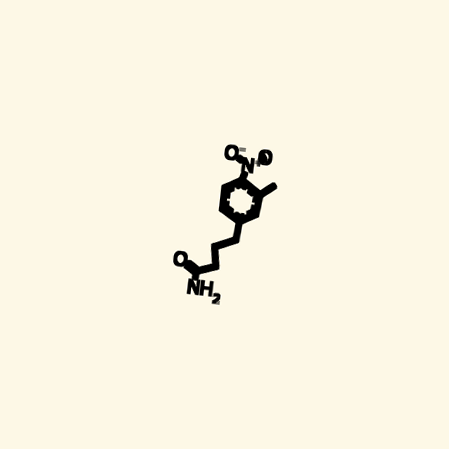 Cc1cc(CCCC(N)=O)ccc1[N+](=O)[O-]